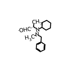 C[C@@H]([C]=O)N(C1CCCCC1)N(C)Cc1ccccc1